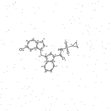 O=C(NS(=O)(=O)C1CC1)c1cn(Cc2csc3ccc(Cl)cc23)c2ccccc12